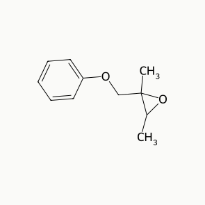 CC1OC1(C)COc1ccccc1